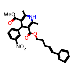 COC(=O)C1=C(C)NC(C)=C(C(=O)OCCCC=Cc2ccccc2)C1c1cccc([N+](=O)[O-])c1